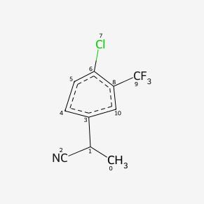 CC(C#N)c1ccc(Cl)c(C(F)(F)F)c1